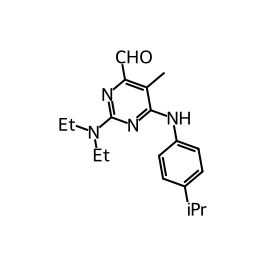 CCN(CC)c1nc(C=O)c(C)c(Nc2ccc(C(C)C)cc2)n1